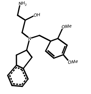 COC1=CC(OC)C(CN(CC(O)CN)C2Cc3ccccc3C2)C=C1